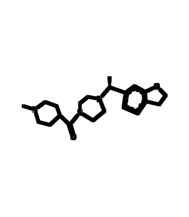 C[C@@H](c1ccc2c(c1)OCC2)N1CCN(C(=O)C2CCN(C)CC2)CC1